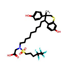 CC1(c2ccc(O)cc2)CSc2cc(O)ccc2C1CCCCCCCCCN(CC(=O)O)S(=O)(=O)CCCC(F)(F)C(F)(F)F